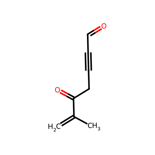 C=C(C)C(=O)CC#CC=O